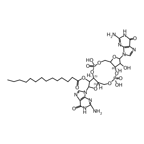 CCCCCCCCCCCCCC(=O)OC1C(n2cnc3c(=O)[nH]c(N)nc32)O[C@H]2COP(=O)(O)O[C@H]3C(COP(=O)(O)O[C@H]12)OC(n1cnc2c(=O)[nH]c(N)nc21)C3O